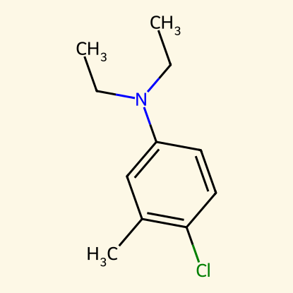 CCN(CC)c1ccc(Cl)c(C)c1